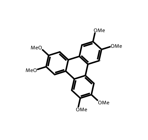 COc1[c]c2c(cc1OC)c1cc(OC)c(OC)cc1c1cc(OC)c(OC)cc21